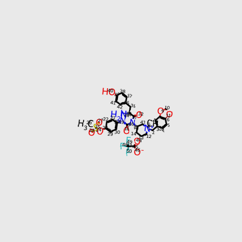 C[N+]1(Cc2ccc3c(c2)OCO3)CCC[C@H](N(C(=O)Nc2ccc(OS(C)(=O)=O)cc2)C(=O)[C@@H](N)Cc2ccc(O)cc2)C1.O=C([O-])C(F)(F)F